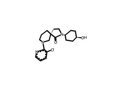 O=C1N([C@H]2CC[C@H](O)CC2)CC[C@]12CCCN(c1ncccc1Cl)C2